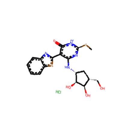 CSc1nc(N[C@@H]2C[C@H](CO)[C@@H](O)[C@H]2O)c(-c2nc3ccccc3s2)c(=O)[nH]1.Cl